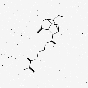 C=C(C)C(=O)OCCOC(=O)C1C2CC3C(OC(=C)C31)C2CC